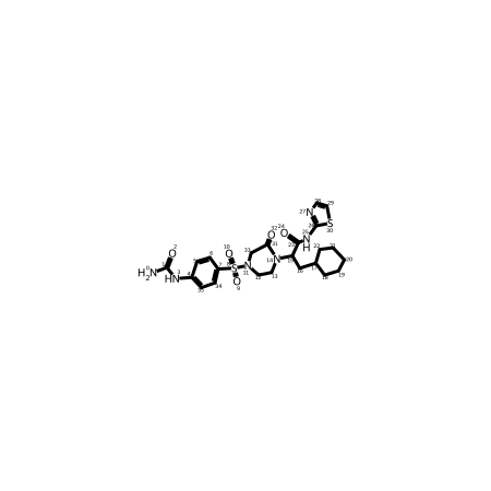 NC(=O)Nc1ccc(S(=O)(=O)N2CCN(C(CC3CCCCC3)C(=O)Nc3nccs3)C(=O)C2)cc1